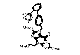 CCCCCc1nc2c(c(=O)n(CC(=O)OC)c(=O)n2CCOC)n1Cc1ccc(-c2ccccc2-c2nnn[nH]2)cc1